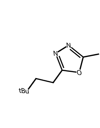 Cc1nnc(CCC(C)(C)C)o1